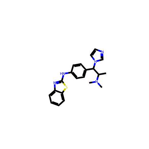 CC(C(c1ccc(Nc2nc3ccccc3s2)cc1)n1ccnc1)N(C)C